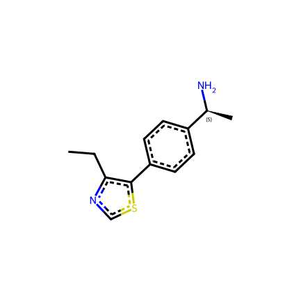 CCc1ncsc1-c1ccc([C@H](C)N)cc1